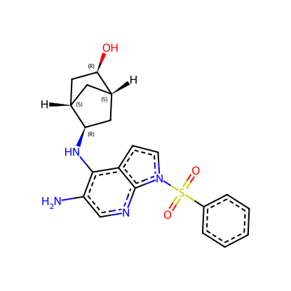 Nc1cnc2c(ccn2S(=O)(=O)c2ccccc2)c1N[C@@H]1C[C@@H]2C[C@H]1C[C@H]2O